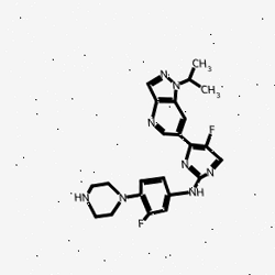 CC(C)n1ncc2ncc(-c3nc(Nc4ccc(N5CCNCC5)c(F)c4)ncc3F)cc21